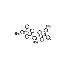 Cc1ccc(N(c2ccc(C(C)(C)C)cc2)c2c3ccccc3c(-c3cc(-c4c5ccccc5c(N(c5ccc(C)cc5)c5ccc(C(C)(C)C)cc5)c5ccccc45)cc(C(C)(C)C)c3)c3ccccc23)cc1